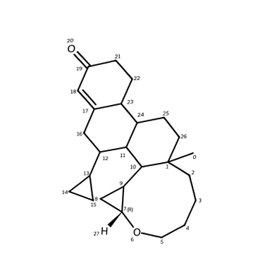 CC12CCCCO[C@@H]3CC3C1C1C(C3CC3)CC3=CC(=O)CCC3C1CC2